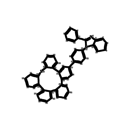 c1ccc(-c2nc3ccccc3n2-c2ccc(-c3ccc4c(c3)-c3ccccc3Sc3ccccc3-c3ccccc3-c3ccccc3-4)cc2)cc1